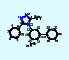 CC(C)c1nnc(-c2ccccc2)n1-c1cccc(-c2ccccc2)c1.[Ir+3]